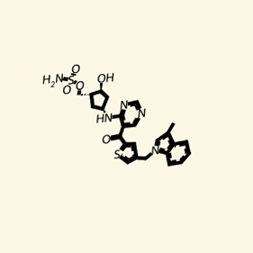 Cc1cn(Cc2csc(C(=O)c3cncnc3N[C@@H]3C[C@H](COS(N)(=O)=O)[C@@H](O)C3)c2)c2ccccc12